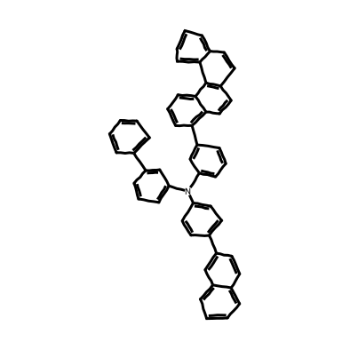 c1ccc(-c2cccc(N(c3ccc(-c4ccc5ccccc5c4)cc3)c3cccc(-c4cccc5c4ccc4ccc6ccccc6c45)c3)c2)cc1